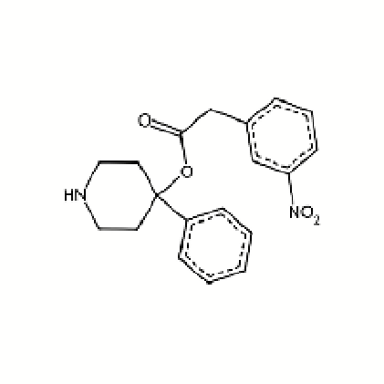 O=C(Cc1cccc([N+](=O)[O-])c1)OC1(c2ccccc2)CCNCC1